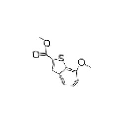 COC(=O)c1cc2cccc(OC)c2s1